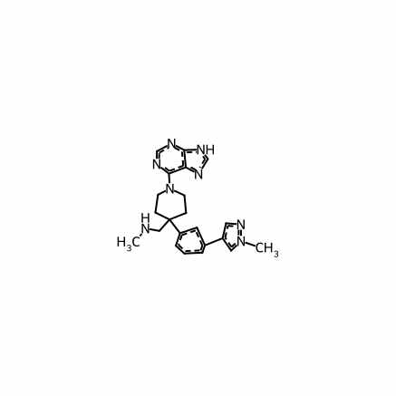 CNCC1(c2cccc(-c3cnn(C)c3)c2)CCN(c2ncnc3[nH]cnc23)CC1